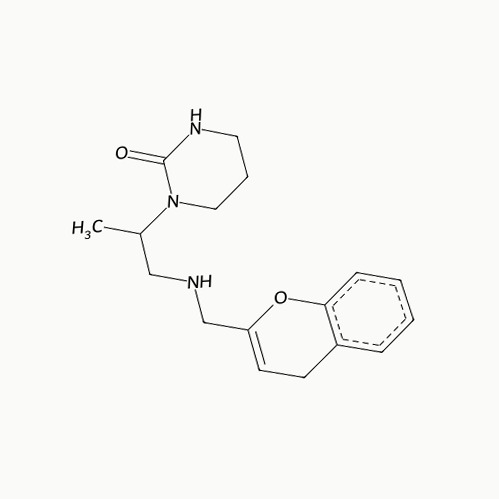 CC(CNCC1=CCc2ccccc2O1)N1CCCNC1=O